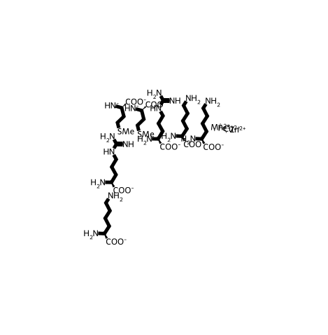 CSCC[C@H]([NH-])C(=O)[O-].CSCC[C@H]([NH-])C(=O)[O-].N=C(N)NCCC[C@H](N)C(=O)[O-].N=C(N)NCCC[C@H](N)C(=O)[O-].NCCCC[C@H](N)C(=O)[O-].NCCCC[C@H](N)C(=O)[O-].NCCCC[C@H](N)C(=O)[O-].[Cu+2].[Fe+3].[Mn+2].[Zn+2]